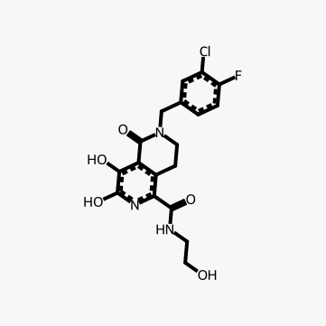 O=C(NCCO)c1nc(O)c(O)c2c1CCN(Cc1ccc(F)c(Cl)c1)C2=O